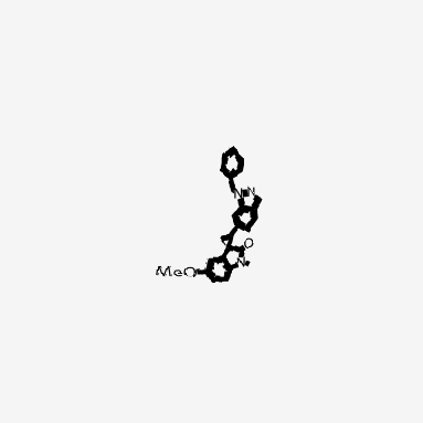 COc1ccc2c(c1)[C@]1(CC1c1ccc3cnn(Cc4ccccc4)c3c1)C(=O)N2C